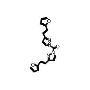 O=C(n1ccc(C=Cc2ccco2)n1)n1ccc(C=Cc2ccco2)n1